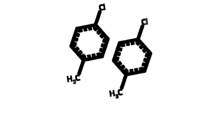 Cc1ccc(Cl)cc1.Cc1ccc(Cl)cc1